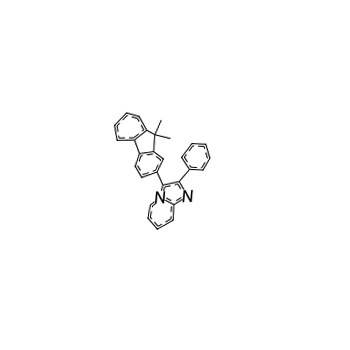 CC1(C)c2ccccc2-c2ccc(-c3c(-c4ccccc4)nc4ccccn34)cc21